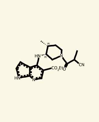 CCOC(=O)c1cnc2[nH]ccc2c1N[C@H]1CN(C(=O)C(C)C#N)CC[C@H]1C